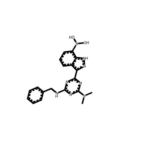 CN(C)c1nc(NCc2ccccc2)nc(-c2n[nH]c3c(B(O)O)cccc23)n1